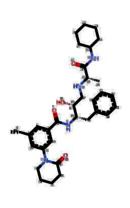 CCCc1cc(C(=O)N[C@@H](Cc2ccccc2)[C@H](O)CN[C@@H](C)C(=O)NC2CCCCC2)cc(N2CCCCC2=O)c1